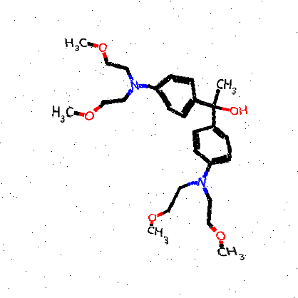 COCCN(CCOC)c1ccc(C(C)(O)c2ccc(N(CCOC)CCOC)cc2)cc1